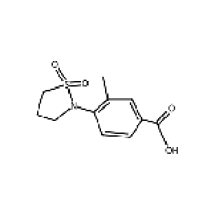 Cc1cc(C(=O)O)ccc1N1CCCS1(=O)=O